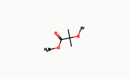 CC(C)OC(C)(C)C(=O)O[SiH3]